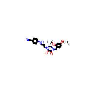 COc1ccc(CN2CCN(CCCNc3ccc(C#N)cc3)C(=O)C2=O)c(OC)c1